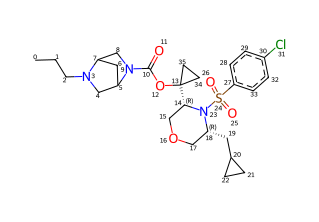 CCCN1CC2CC1CN2C(=O)OC1([C@H]2COC[C@@H](CC3CC3)N2S(=O)(=O)c2ccc(Cl)cc2)CC1